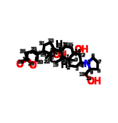 C[C@]12CC[C@H](N3CCCC3CO)C[C@@]1(O)CC[C@@H]1[C@@H]2CC[C@]2(C)[C@@H](c3ccc(=O)oc3)CC[C@]12O